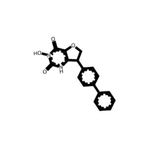 O=c1[nH]c2c(c(=O)n1O)OCC2c1ccc(-c2ccccc2)cc1